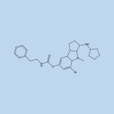 CN1C2C(Br)=CC(OC(=O)NCCc3ccccc3)=CC2C2CCC(NC3CCCC3)C21